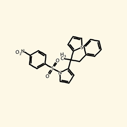 CC(Cc1ccccc1)(c1cccs1)c1cccn1S(=O)(=O)c1ccc([N+](=O)[O-])cc1